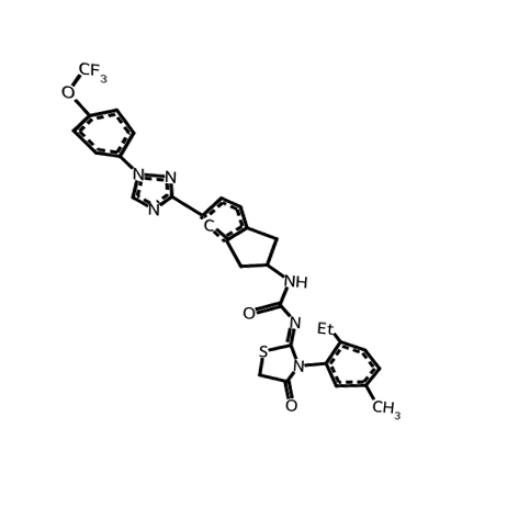 CCc1ccc(C)cc1N1C(=O)CSC1=NC(=O)NC1Cc2ccc(-c3ncn(-c4ccc(OC(F)(F)F)cc4)n3)cc2C1